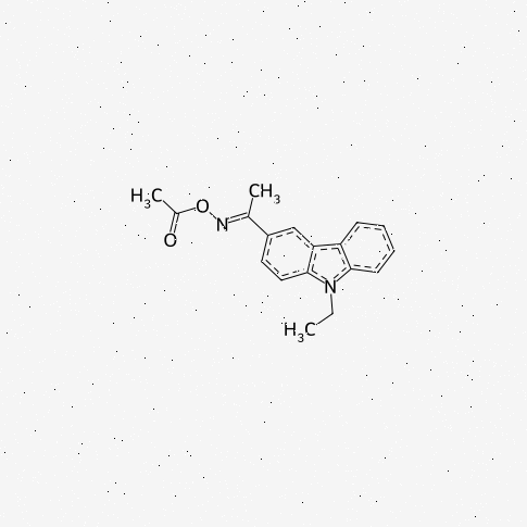 CCn1c2ccccc2c2cc(C(C)=NOC(C)=O)ccc21